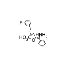 N[C@H](C(=O)N[C@H](CCc1cccc(F)c1)C(=O)O)c1ccccc1